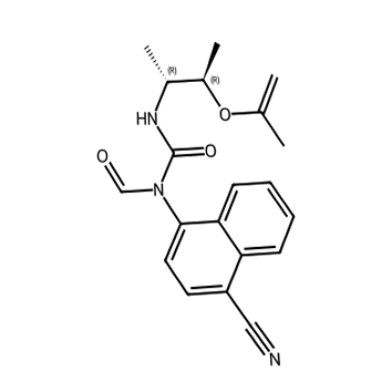 C=C(C)O[C@H](C)[C@@H](C)NC(=O)N(C=O)c1ccc(C#N)c2ccccc12